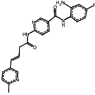 Cc1ccc(/C=C/CC(=O)Nc2ccc(C(=O)Nc3ccc(F)cc3N)cn2)cn1